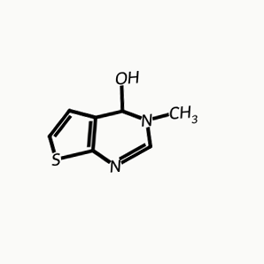 CN1C=Nc2sccc2C1O